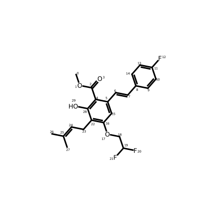 COC(=O)c1c(C=Cc2ccc(F)cc2)cc(OCC(F)F)c(CC=C(C)C)c1O